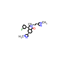 Cn1cc(/C=C/Cn2c(C#N)c(-c3cccc(F)c3)c3cc(-c4cnn(C)c4)ccc3c2=O)cn1